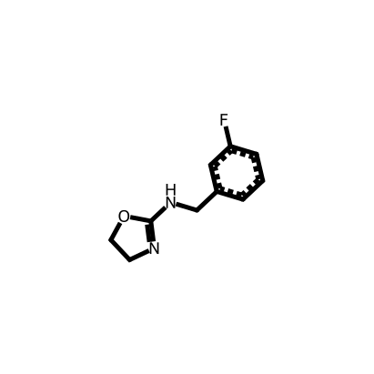 Fc1cccc(CNC2=NCCO2)c1